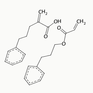 C=C(CCCc1ccccc1)C(=O)O.C=CC(=O)OCCCc1ccccc1